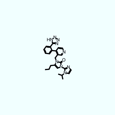 CCCc1cn(-c2nccn2C(C)C)c(=O)n1Cc1cnccc1-c1ccccc1-c1nnn[nH]1